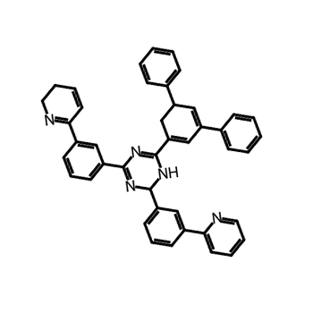 C1=CC(c2cccc(C3=NC(c4cccc(-c5ccccn5)c4)NC(C4=CC(c5ccccc5)=CC(c5ccccc5)C4)=N3)c2)=NCC1